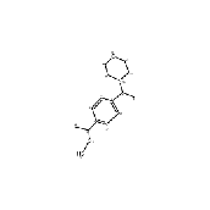 CC(SS)c1ccc(C(C)N2CCOCC2)cn1